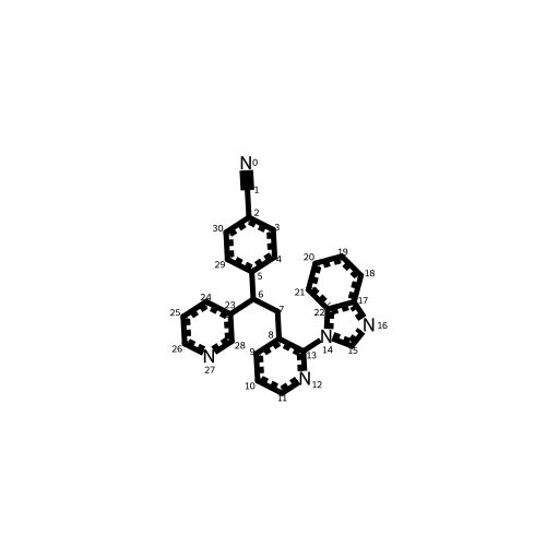 N#Cc1ccc(C(Cc2cccnc2-n2cnc3ccccc32)c2cccnc2)cc1